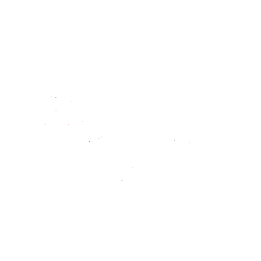 CCCCCCC/C=C(/C=O)CCCCCO[Si](C)(C)C(C)(C)C